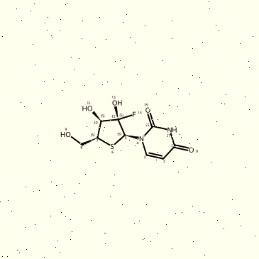 O=c1ccn([C@H]2S[C@@H](CO)[C@@H](O)[C@]2(O)F)c(=O)[nH]1